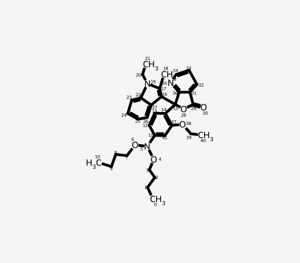 CCCCON(OCCCC)c1ccc(C2(c3c(C)n(CC)c4ccccc34)OC(=O)c3cccnc32)c(OCC)c1